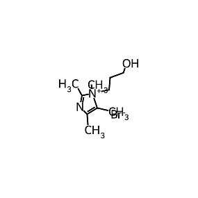 CC1=NC(C)=C(C)[N+]1(C)CCCO.[Br-]